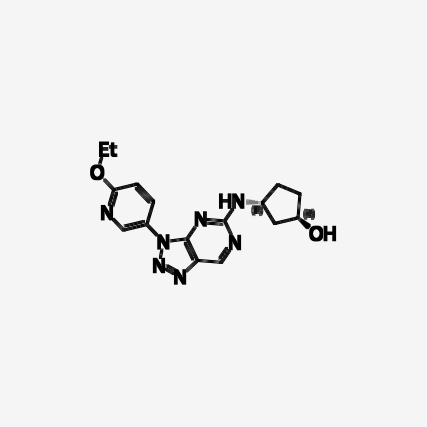 CCOc1ccc(-n2nnc3cnc(N[C@@H]4CC[C@@H](O)C4)nc32)cn1